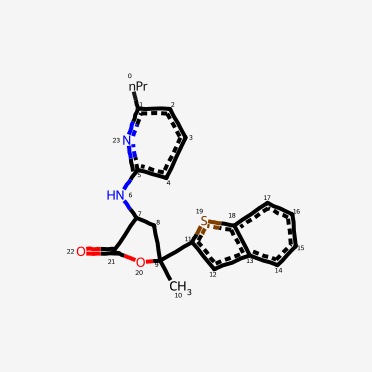 CCCc1cccc(NC2CC(C)(c3cc4ccccc4s3)OC2=O)n1